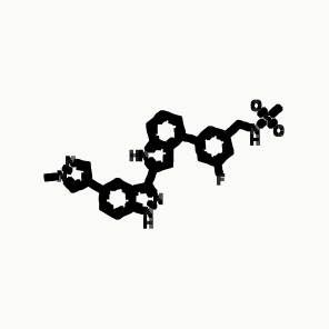 Cn1cc(-c2ccc3[nH]nc(-c4cc5c(-c6cc(F)cc(CNS(C)(=O)=O)c6)cccc5[nH]4)c3c2)cn1